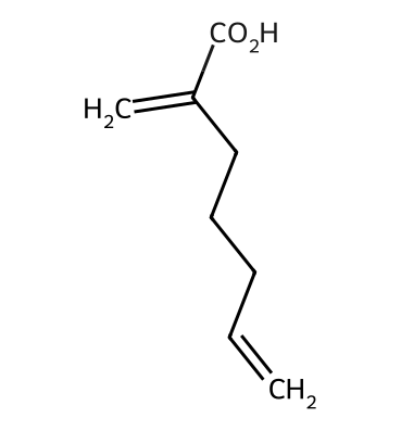 C=CCCCC(=C)C(=O)O